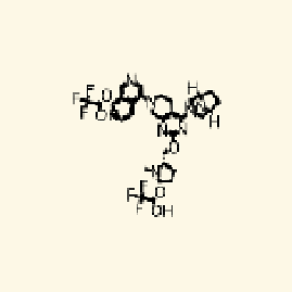 CN1CCC[C@H]1COc1nc2c(c(N3C[C@H]4CC[C@@H](C3)N4)n1)CCN(c1cncc3ccccc13)C2.O=C(O)C(F)(F)F.O=C(O)C(F)(F)F